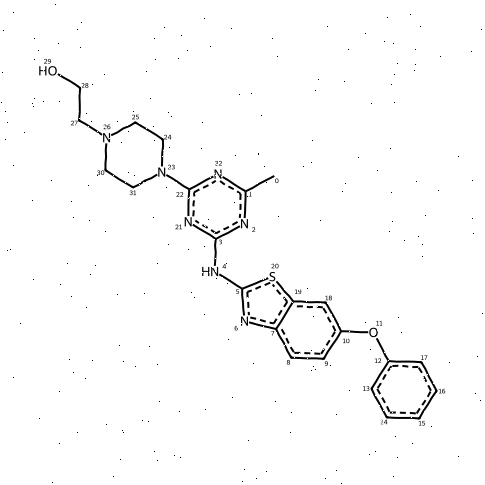 Cc1nc(Nc2nc3ccc(Oc4ccccc4)cc3s2)nc(N2CCN(CCO)CC2)n1